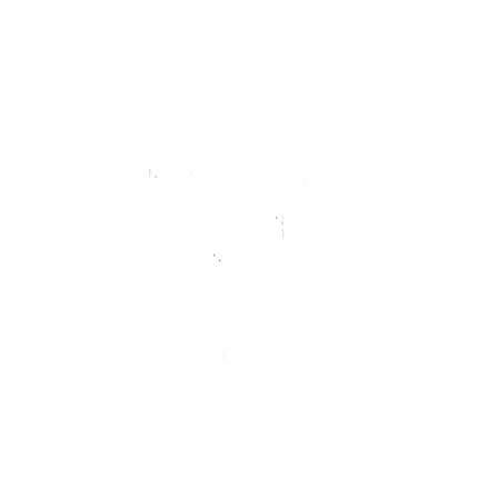 C=CC(=O)NC[C@H]1Cc2c(C(=O)NS(C)(=O)=O)cccc2N(c2ccc(C(F)(F)F)cc2)C1